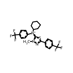 Cn1nc(-c2ccc(C(F)(F)F)cc2)sc1=[N+](c1ccc(C(F)(F)F)cc1)C1CCCCC1